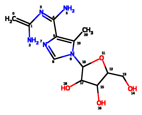 C=C(N)/N=C(/N)c1ncn(C2OC(CO)C(O)C2O)c1C